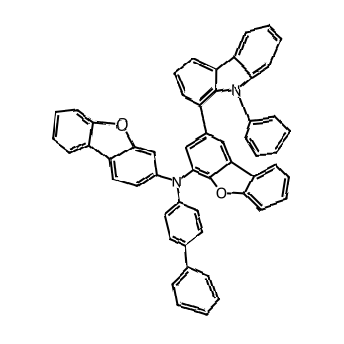 c1ccc(-c2ccc(N(c3ccc4c(c3)oc3ccccc34)c3cc(-c4cccc5c6ccccc6n(-c6ccccc6)c45)cc4c3oc3ccccc34)cc2)cc1